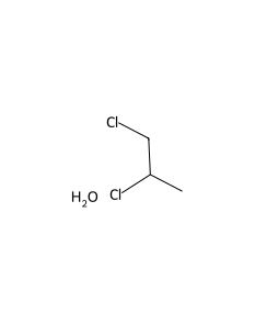 CC(Cl)CCl.O